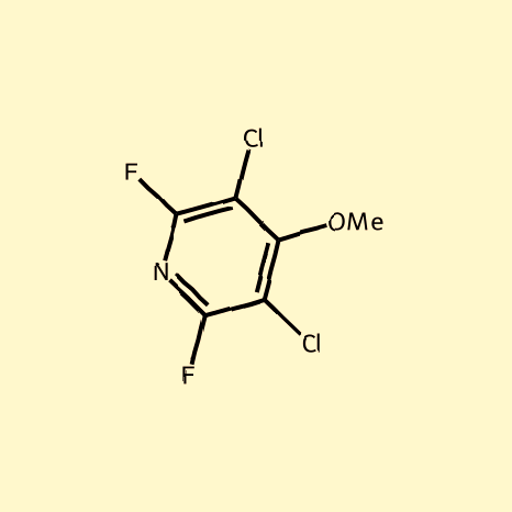 COc1c(Cl)c(F)nc(F)c1Cl